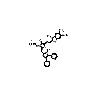 C=CCn1c(=CC2=[N+](CC)C(c3ccccc3)C(c3ccccc3)S2)sc(=CC=C2Sc3cc(C)c(C)cc3N2CCC)c1=O.[I-]